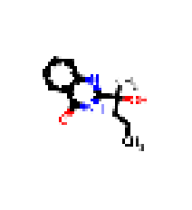 CCCC(C)(O)c1nc2ccccc2c(=O)[nH]1